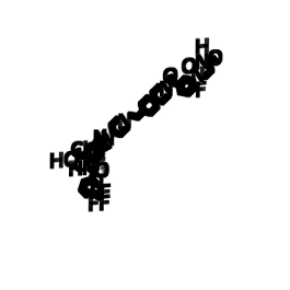 CC(C)(O)c1cc2nn(C3CCN(CCC4CCC5(CC4)CCN(C(=O)c4ccc(F)c(N6CCC(=O)NC6=O)c4)CC5)CC3)cc2cc1NC(=O)c1cccc(C(F)(F)F)n1